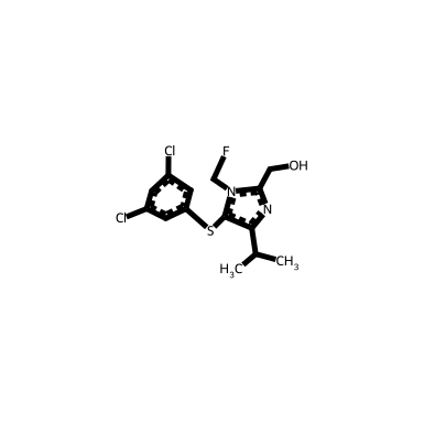 CC(C)c1nc(CO)n(CF)c1Sc1cc(Cl)cc(Cl)c1